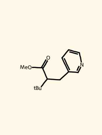 COC(=O)C(Cc1cccnc1)C(C)(C)C